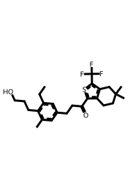 CCc1cc(CCC(=O)c2sc(C(F)(F)F)c3c2CCC(C)(C)C3)cc(C)c1CCCO